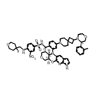 Cc1ccccc1[C@@H]1COCCN1C1CC2(CCN(c3ccc(C(=O)NS(=O)(=O)c4ccc(NCC5(F)CCOCC5)c([N+](=O)[O-])c4)c(N4c5cc6cc[nH]c6nc5O[C@H]5COCC[C@@H]54)c3)CC2)C1